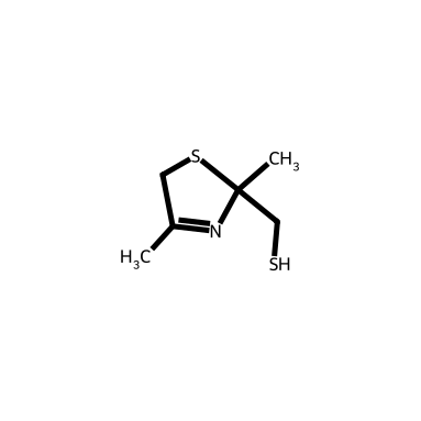 CC1=NC(C)(CS)SC1